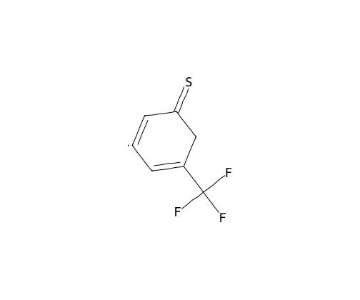 FC(F)(F)C1=C[C]=CC(=S)C1